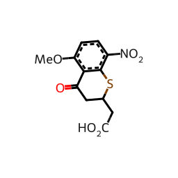 COc1ccc([N+](=O)[O-])c2c1C(=O)CC(CC(=O)O)S2